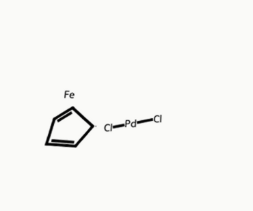 [CH]1C=CC=C1.[Cl][Pd][Cl].[Fe]